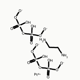 NCCN.O=P(O)(O[O-])OP(=O)(O)O[O-].O=P(O)(O[O-])OP(=O)(O)O[O-].[Pt+4]